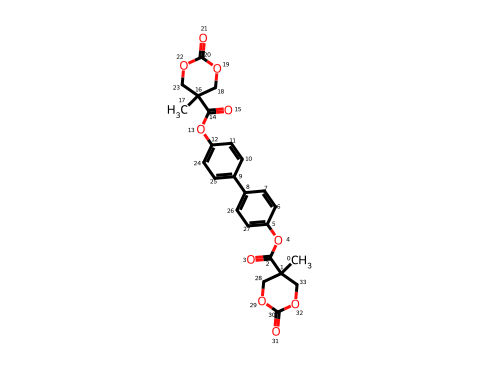 CC1(C(=O)Oc2ccc(-c3ccc(OC(=O)C4(C)COC(=O)OC4)cc3)cc2)COC(=O)OC1